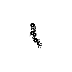 COC(=O)CC1COc2cc(O[C@@H]3CCc4c(Oc5nc6ccccc6n5C)ccc(F)c43)ccc21